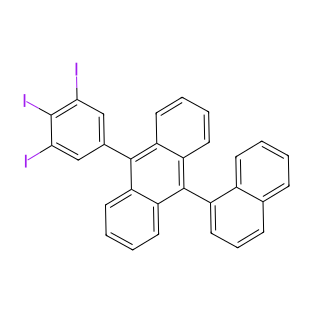 Ic1cc(-c2c3ccccc3c(-c3cccc4ccccc34)c3ccccc23)cc(I)c1I